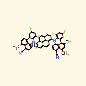 Cc1ccc(-c2cc(F)cc(F)c2N(c2ccc(C#N)cc2)c2ccc3ccc4c(N(c5ccc(C#N)cc5)c5c(F)cc(F)cc5-c5ccc(C)cc5C)ccc5ccc2c3c54)c(C)c1